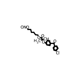 CC(C)(Oc1ccc(C(=O)c2ccc(Cl)cc2)cc1)C(=O)OCCCCCCON=O